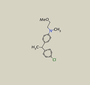 COCCN(C)c1ccc(C(C)c2ccc(Cl)cc2)cc1